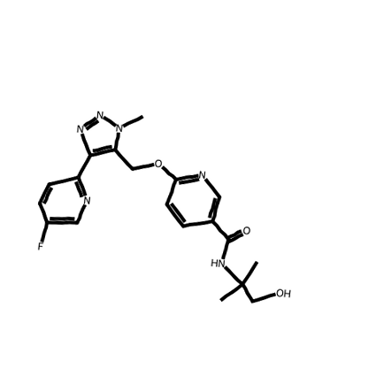 Cn1nnc(-c2ccc(F)cn2)c1COc1ccc(C(=O)NC(C)(C)CO)cn1